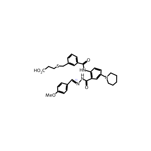 COc1ccc(/C=N/NC(=O)c2cc(N3CCCCC3)ccc2NC(=O)c2cccc(CSCCC(=O)O)c2)cc1